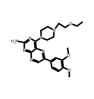 CCOCCN1CCN(c2nc(N)nc3ncc(-c4ccc(OC)c(OC)c4)nc23)CC1